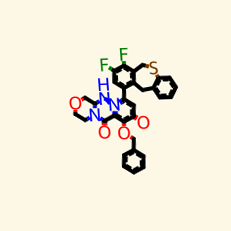 O=C1c2c(OCc3ccccc3)c(=O)cc(-c3cc(F)c(F)c4c3Cc3ccccc3SC4)n2NC2COCCN12